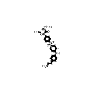 CCCCCCNC(=O)N(OC=O)c1ccc(S(=O)(=O)N2CCC(Nc3ccc(CCN)cc3)CC2)cc1